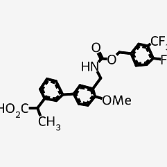 COc1ccc(-c2cccc(C(C)C(=O)O)c2)cc1CNC(=O)OCc1ccc(F)c(C(F)(F)F)c1